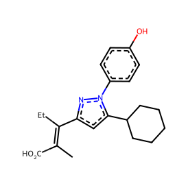 CCC(=C(C)C(=O)O)c1cc(C2CCCCC2)n(-c2ccc(O)cc2)n1